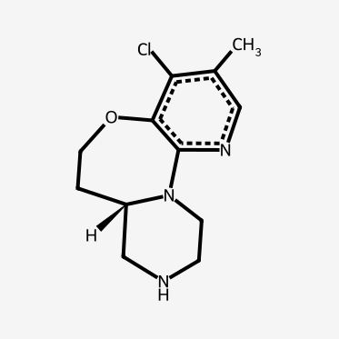 Cc1cnc2c(c1Cl)OCC[C@H]1CNCCN21